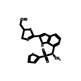 CN(c1cccc2c1BC(C1=NCC(CC=O)S1)=C2)S(=O)(=O)c1cccs1